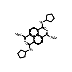 COC(=O)c1ccc(C(=O)NC2CCCC2)c2c(C(=O)OC)ccc(C(=O)NC3CCCC3)c12